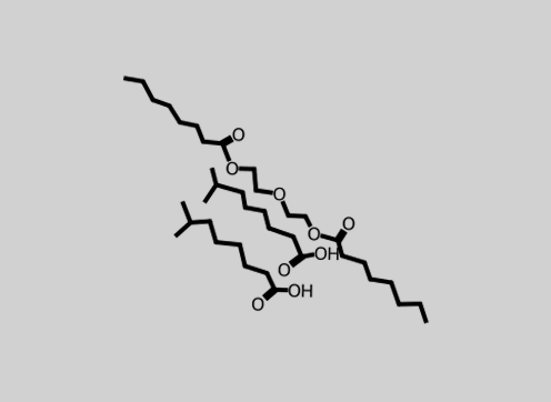 CC(C)CCCCCC(=O)O.CC(C)CCCCCC(=O)O.CCCCCCCC(=O)OCCOCCOC(=O)CCCCCCC